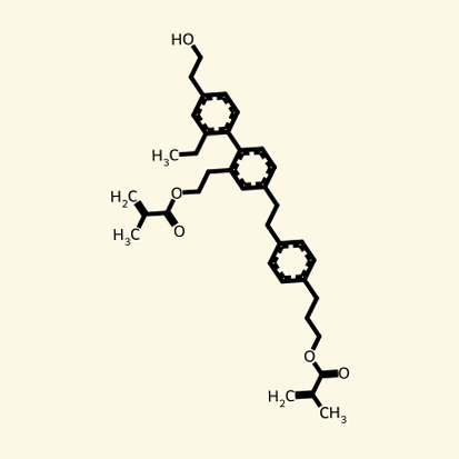 C=C(C)C(=O)OCCCc1ccc(CCc2ccc(-c3ccc(CCO)cc3CC)c(CCOC(=O)C(=C)C)c2)cc1